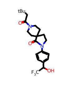 CC(C)(C)CC(=O)N1CCC2(CC1)CCN(c1ccc(C(O)C(F)(F)F)cc1)C2=O